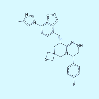 Cc1cn(-c2ccc(/C=C3\CC4(CSC4)CN4C3=NNCC4c3ccc(F)cc3)c3cnoc23)cn1